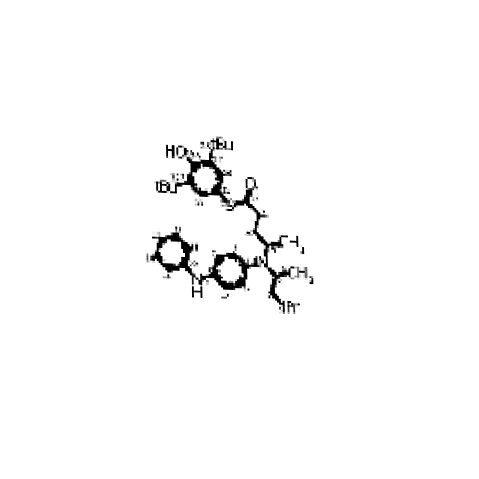 CC(C)CC(C)N(c1ccc(Nc2ccccc2)cc1)C(C)CCC(=O)Sc1cc(C(C)(C)C)c(O)c(C(C)(C)C)c1